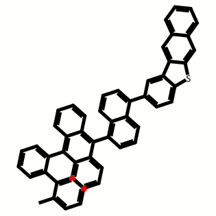 Cc1ccccc1-c1ccccc1-c1c2ccccc2c(-c2cccc3c(-c4ccc5sc6cc7ccccc7cc6c5c4)cccc23)c2ccccc12